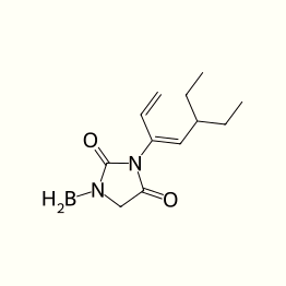 BN1CC(=O)N(/C(C=C)=C/C(CC)CC)C1=O